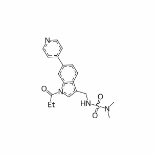 CCC(=O)n1cc(CNS(=O)(=O)N(C)C)c2ccc(-c3ccncc3)cc21